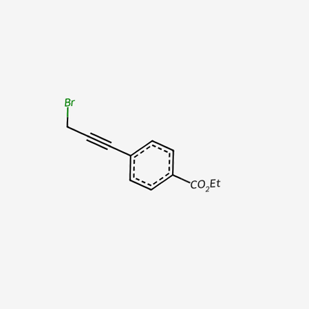 CCOC(=O)c1ccc(C#CCBr)cc1